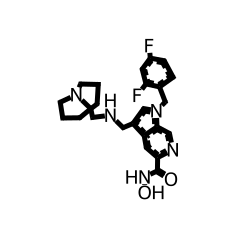 O=C(NO)c1cc2c(CNCC34CCCN3CCC4)cn(Cc3ccc(F)cc3F)c2cn1